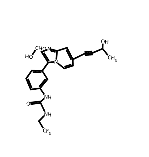 CC(O)C#Cc1ccn2c(-c3cccc(NC(=O)NCC(F)(F)F)c3)cnc2c1.O=CO